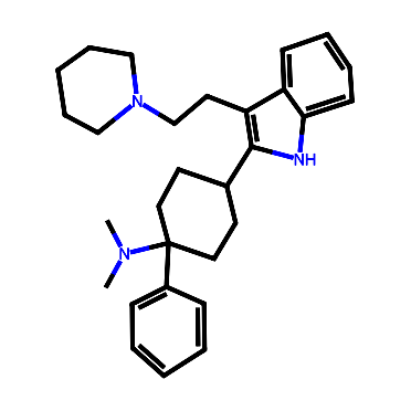 CN(C)C1(c2ccccc2)CCC(c2[nH]c3ccccc3c2CCN2CCCCC2)CC1